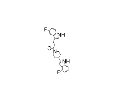 O=C(CCc1c[nH]c2ccc(F)cc12)N1CCC(c2cc3c(F)cccc3[nH]2)CC1